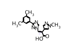 Cc1cc(C)cc(-c2ncn(/C=C(/C(=O)O)c3cnn(C)c3)n2)c1